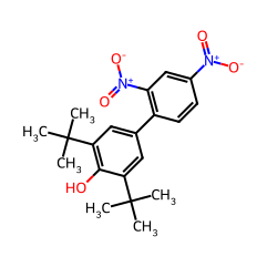 CC(C)(C)c1cc(-c2ccc([N+](=O)[O-])cc2[N+](=O)[O-])cc(C(C)(C)C)c1O